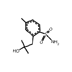 Cc1ccc(S(N)(=O)=O)c(CC(C)(C)O)c1